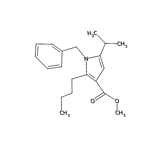 CCCCc1c(C(=O)OC)cc(C(C)C)n1Cc1ccccc1